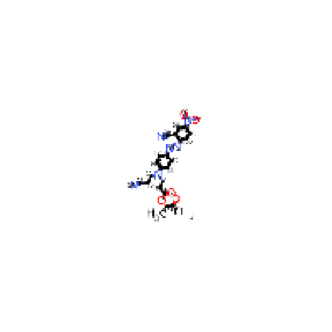 CC(=O)C(C)OC(=O)CCN(CCC#N)c1ccc(/N=N/c2ccc([N+](=O)[O-])cc2C#N)cc1